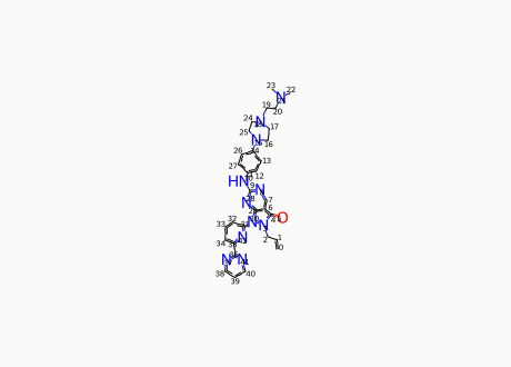 C=CCn1c(=O)c2cnc(Nc3ccc(N4CCN(CCN(C)C)CC4)cc3)nc2n1-c1cccc(-c2ncccn2)n1